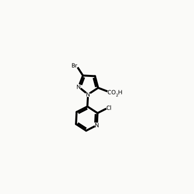 O=C(O)c1cc(Br)nn1-c1cccnc1Cl